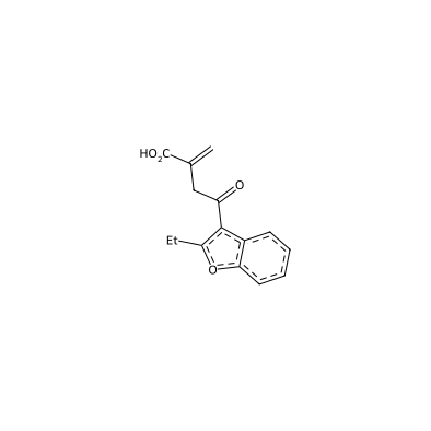 C=C(CC(=O)c1c(CC)oc2ccccc12)C(=O)O